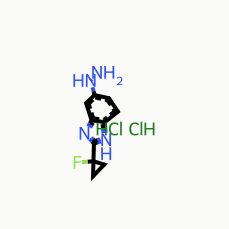 Cl.Cl.NNc1ccc2[nH]c(C3(F)CC3)nc2c1